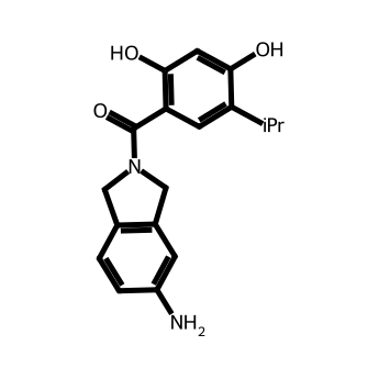 CC(C)c1cc(C(=O)N2Cc3ccc(N)cc3C2)c(O)cc1O